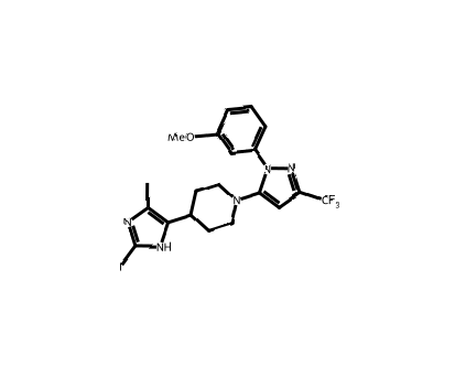 COc1cccc(-n2nc(C(F)(F)F)cc2N2CCC(c3[nH]c(I)nc3C)CC2)c1